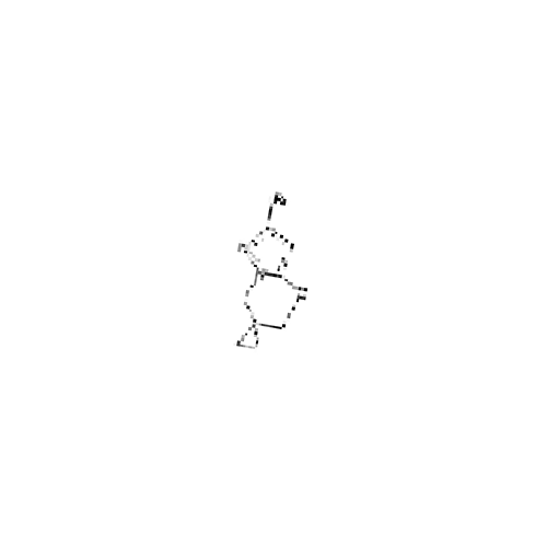 CC(C)(C)c1cc2n(n1)CC1(CC1)CO2